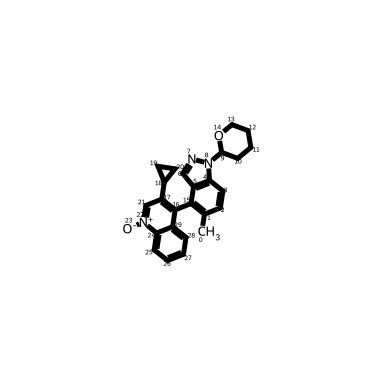 Cc1ccc2c(cnn2C2CCCCO2)c1-c1c(C2CC2)c[n+]([O-])c2ccccc12